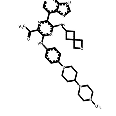 CN1CCN(C2CCN(c3ccc(Nc4nc(NC5CC6(COC6)C5)c(-c5cccc6[nH]cnc56)nc4C(N)=O)cc3)CC2)CC1